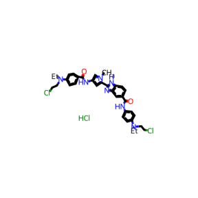 CCN(CCCl)c1ccc(NC(=O)c2ccc3[nH]c(-c4cc(NC(=O)c5ccc(N(CC)CCCl)cc5)cn4C)nc3c2)cc1.Cl